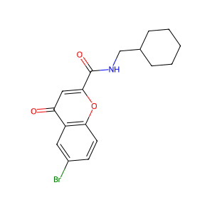 O=C(NCC1CCCCC1)c1cc(=O)c2cc(Br)ccc2o1